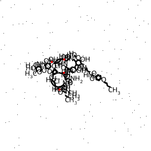 CCCCCOc1ccc(S(=O)(=O)NCCCNCC2[C@H](O)C3C4C[C@H](CC[C@H]4O)[C@H]4NC(=O)[C@@H]5NC(=O)[C@H](CC(N)=O)NC(=O)[C@H](NC(=O)[C@@H](CC(C)C)NC)[C@H](O)[C@H]6CC[C@@H](Oc7cc5cc(c7O[C@@H]5C[C@H](CO)[C@@H](O)[C@H](O)[C@H]5O[C@H]5C[C@](C)(N)[C@H](O)[C@H](C)O5)O[C@@H]5CC[C@@H](C[C@@H]5Cl)[C@@H](O)[C@H](NC4=O)C(=O)N[C@H](C(=O)O)C3C[C@@H]2O)[C@H](Cl)C6)cc1